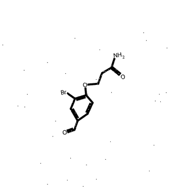 NC(=O)CCOc1ccc(C=O)cc1Br